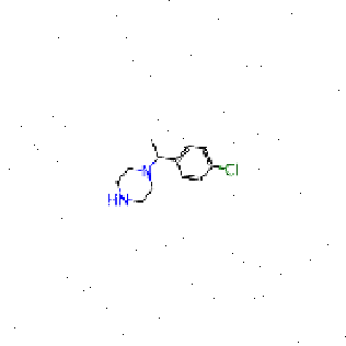 CC(c1ccc(Cl)cc1)N1CCNCC1